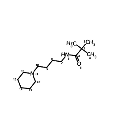 CC(C)(C)C(=O)NCCCCN1CCCCC1